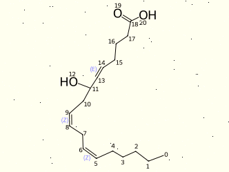 CCCCC/C=C\C/C=C\CC(O)/C=C/CCCC(=O)O